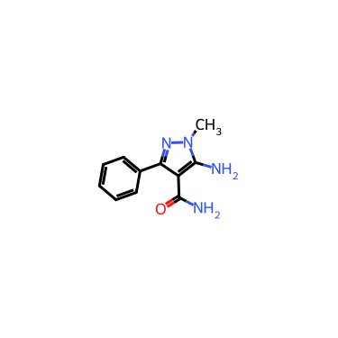 Cn1nc(-c2ccccc2)c(C(N)=O)c1N